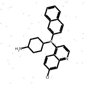 NC1CCC(N(c2ccc3ccccc3c2)c2ccnc3cc(Cl)ccc23)CC1